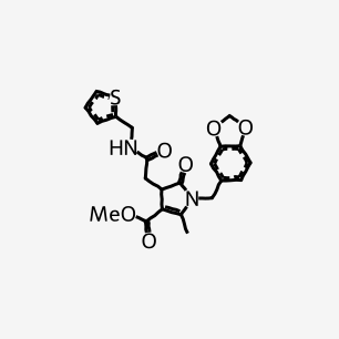 COC(=O)C1=C(C)N(Cc2ccc3c(c2)OCO3)C(=O)C1CC(=O)NCc1cccs1